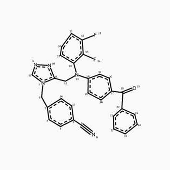 N#Cc1ccc(Cn2cnnc2CN(c2ccc(C(=O)c3ccccc3)cc2)c2cccc(F)c2F)cc1